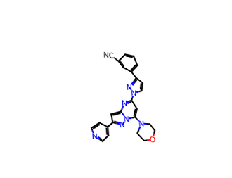 N#Cc1cccc(-c2ccn(-c3cc(N4CCOCC4)n4nc(-c5ccncc5)cc4n3)n2)c1